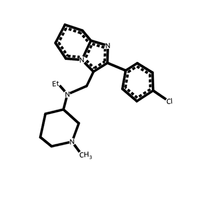 CCN(Cc1c(-c2ccc(Cl)cc2)nc2ccccn12)C1CCCN(C)C1